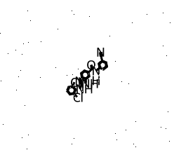 N#Cc1cccc(NC(=O)c2ccc3nc(Nc4c(Cl)cccc4Cl)[nH]c3c2)c1